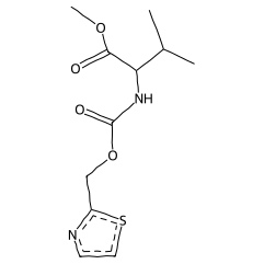 COC(=O)C(NC(=O)OCc1nccs1)C(C)C